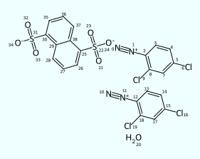 N#[N+]c1ccc(Cl)cc1Cl.N#[N+]c1ccc(Cl)cc1Cl.O.O=S(=O)([O-])c1cccc2c(S(=O)(=O)[O-])cccc12